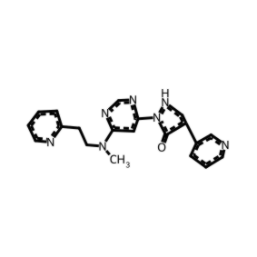 CN(CCc1ccccn1)c1cc(-n2[nH]cc(-c3cccnc3)c2=O)ncn1